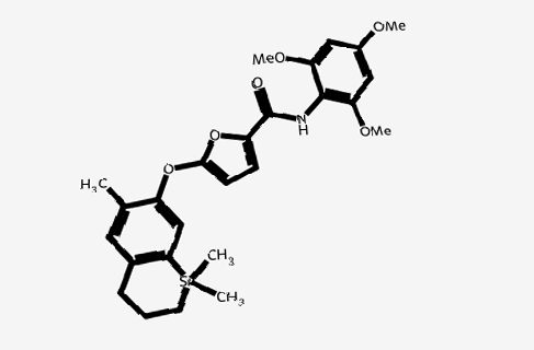 COc1cc(OC)c(NC(=O)c2ccc(Oc3cc4c(cc3C)CCC[Si]4(C)C)o2)c(OC)c1